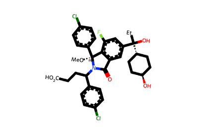 CCC(O)(c1cc(F)c2c(c1)C(=O)N(C(CCC(=O)O)c1ccc(Cl)cc1)[C@@]2(OC)c1ccc(Cl)cc1)[C@H]1CC[C@H](O)CC1